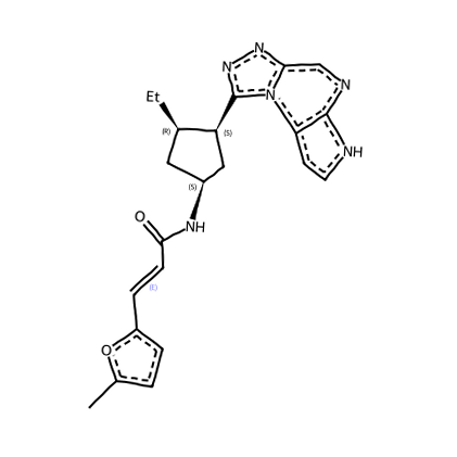 CC[C@@H]1C[C@H](NC(=O)/C=C/c2ccc(C)o2)C[C@@H]1c1nnc2cnc3[nH]ccc3n12